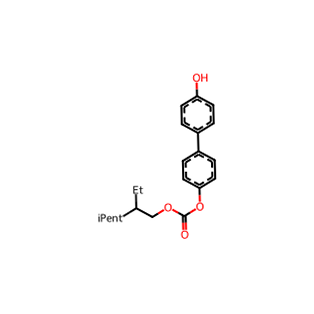 CCCC(C)C(CC)COC(=O)Oc1ccc(-c2ccc(O)cc2)cc1